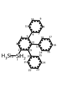 [SiH3][SiH2]c1ccc(-c2ccccc2)c(-c2ccccc2)c1-c1ccccc1